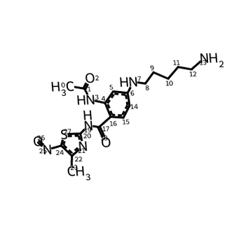 CC(=O)Nc1cc(NCCCCCN)ccc1C(=O)Nc1nc(C)c(N=O)s1